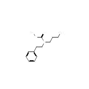 CC(C)(C)OC(=O)N(CCCN)CCc1ccccc1